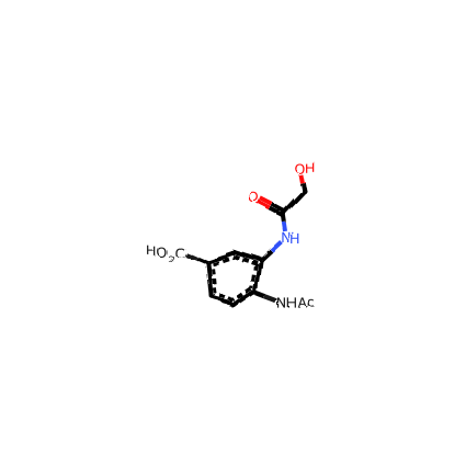 CC(=O)Nc1ccc(C(=O)O)cc1NC(=O)CO